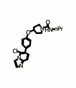 CCCNC(=O)N1CCC(Oc2ccc(-c3ccc4nccn4c3Cl)cc2)CC1